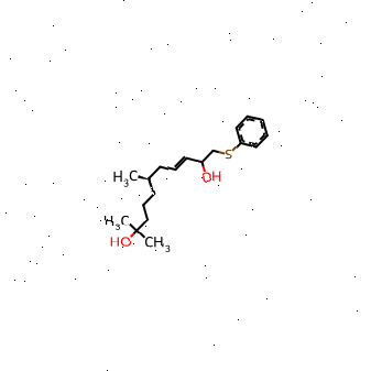 C[C@@H](C/C=C/C(O)CSc1ccccc1)CCCC(C)(C)O